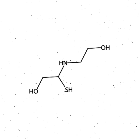 OCCNC(S)CO